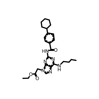 CCCCNc1nc(NC(=O)c2ccc(C3CCCCC3)cc2)nc2c1ncn2CC(=O)OCC